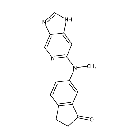 CN(c1ccc2c(c1)C(=O)CC2)c1cc2[nH]cnc2cn1